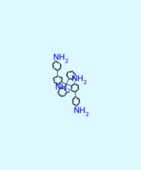 Nc1ccc(-c2ccc(N)c(C(c3ccccc3)(c3ccccc3)c3cc(-c4ccc(N)cc4)ccc3N)c2)cc1